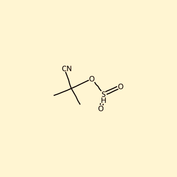 CC(C)(C#N)O[SH](=O)=O